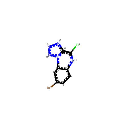 Clc1nc2ccc(Br)cc2n2nnnc12